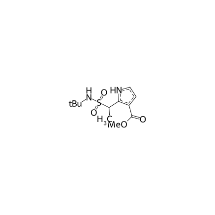 COC(=O)c1cc[nH]c1C(C)S(=O)(=O)NC(C)(C)C